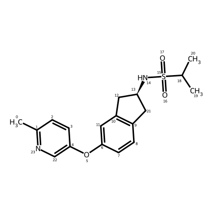 Cc1ccc(Oc2ccc3c(c2)C[C@@H](NS(=O)(=O)C(C)C)C3)cn1